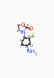 Nc1ccc(N2CCOC2=O)c(F)c1